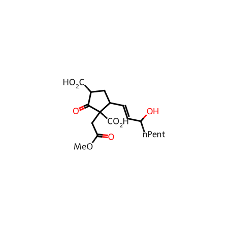 CCCCCC(O)/C=C/C1CC(C(=O)O)C(=O)C1(CC(=O)OC)C(=O)O